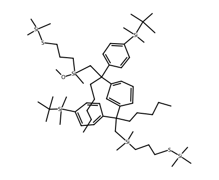 CCCCCC(C[Si](C)(C)CCCS[Si](C)(C)C)(c1ccc([Si](C)(C)C(C)(C)C)cc1)c1cccc(C(CCCCC)(C[Si](C)(CCCS[Si](C)(C)C)OC)c2ccc([Si](C)(C)C(C)(C)C)cc2)c1